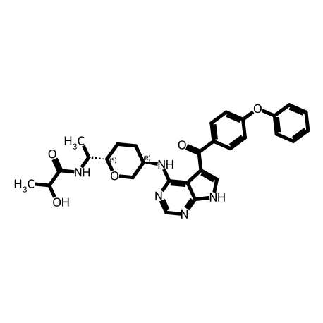 CC(O)C(=O)NC(C)[C@@H]1CC[C@@H](Nc2ncnc3[nH]cc(C(=O)c4ccc(Oc5ccccc5)cc4)c23)CO1